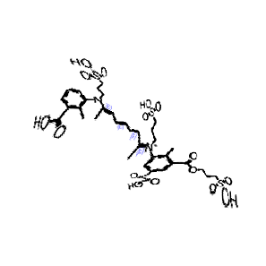 C\C(=C/C=C/C=C/C(C)=[N+](\CCCS(=O)(=O)O)c1cc(S(=O)(=O)O)cc(C(=O)OCCCS(=O)(=O)O)c1C)N(CCCS(=O)(=O)O)c1cccc(C(=O)O)c1C